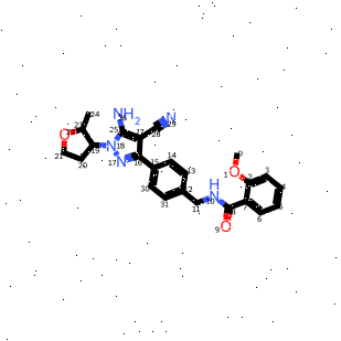 COc1ccccc1C(=O)NCc1ccc(-c2nn(C3CCOC3C)c(N)c2C#N)cc1